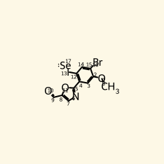 COc1cc(-c2ncc(C=O)o2)c(I)cc1Br.[Se]